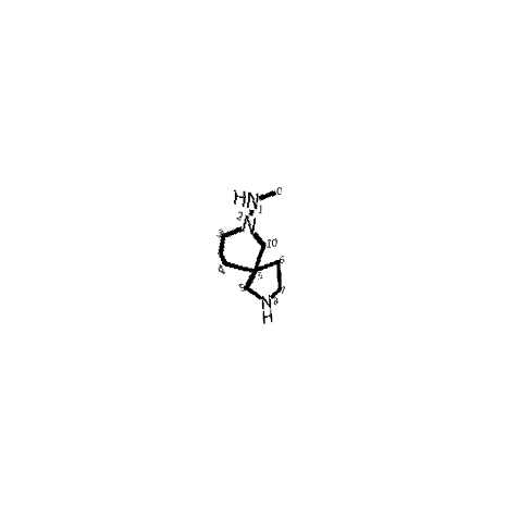 CNN1CCC2(CCNC2)C1